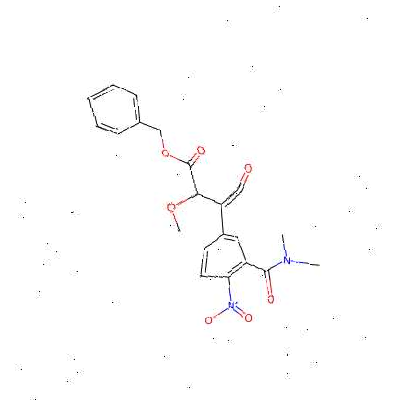 COC(C(=O)OCc1ccccc1)C(=C=O)c1ccc([N+](=O)[O-])c(C(=O)N(C)C)c1